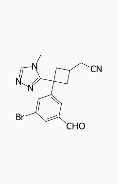 Cn1cnnc1C1(c2cc(Br)cc(C=O)c2)CC(CC#N)C1